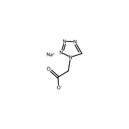 O=C([O-])Cn1cnnn1.[Na+]